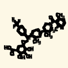 Cc1ccnc(C)c1C(=O)N1CCC(C)(N2CCN([C@@H](COC3CC(C(=O)O)C(O)C(O)C3O)c3ccc(C(F)(F)F)cc3)[C@@H](C)C2)CC1